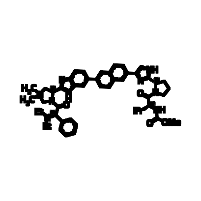 CCN(CC)[C@@H](C(=O)N1C[Si](C)(C)C[C@H]1c1nc2ccc(-c3ccc4cc(-c5c[nH]c([C@@H]6CCCN6C(=O)[C@@H](NC(=O)OC)C(C)C)n5)ccc4c3)cc2[nH]1)c1ccccc1